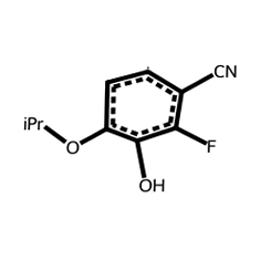 CC(C)Oc1c[c]c(C#N)c(F)c1O